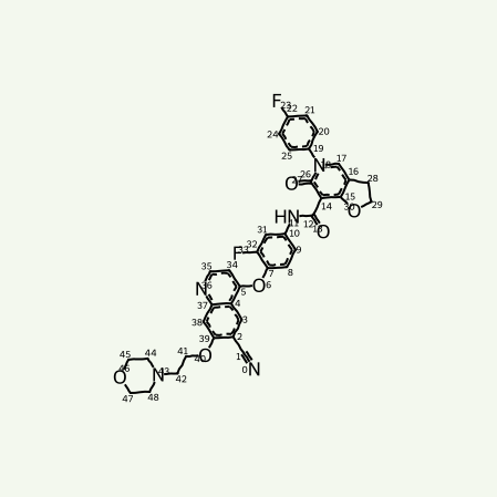 N#Cc1cc2c(Oc3ccc(NC(=O)c4c5c(cn(-c6ccc(F)cc6)c4=O)CCO5)cc3F)ccnc2cc1OCCN1CCOCC1